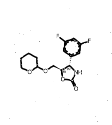 O=C1N[C@@H](c2cc(F)cc(F)c2)[C@H](COC2CCCCO2)O1